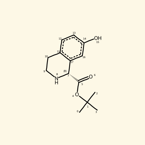 CC(C)(C)OC(=O)[C@@H]1NCCc2ccc(O)cc21